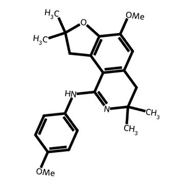 COc1ccc(NC2=NC(C)(C)Cc3cc(OC)c4c(c32)CC(C)(C)O4)cc1